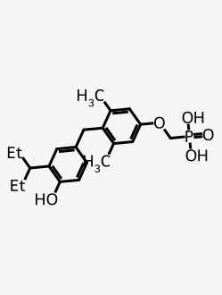 CCC(CC)c1cc(Cc2c(C)cc(OCP(=O)(O)O)cc2C)ccc1O